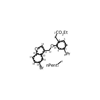 CCCCCC.CCOC(=O)Cc1ccc(C(C)C)cc1OCc1coc2ccc(Br)cc12